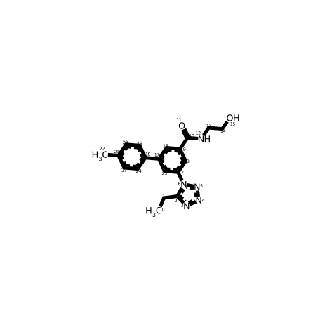 CCc1nnnn1-c1cc(C(=O)NCCO)cc(-c2ccc(C)cc2)c1